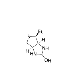 CC[C@@H]1SC[C@@H]2NC(O)N[C@@H]21